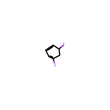 IC1=CC=CC(I)C1